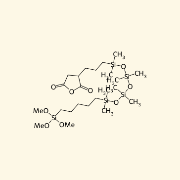 CO[Si](CCCCC[Si](C)(C)O[Si](C)(C)O[Si](C)(C)O[Si](C)(C)CCCC1CC(=O)OC1=O)(OC)OC